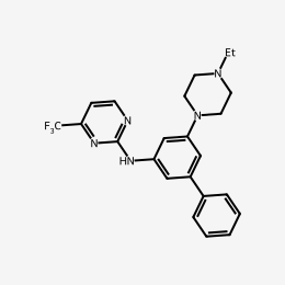 CCN1CCN(c2cc(Nc3nccc(C(F)(F)F)n3)cc(-c3ccccc3)c2)CC1